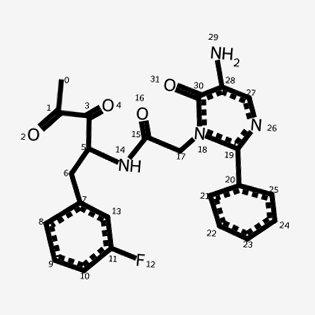 CC(=O)C(=O)C(Cc1cccc(F)c1)NC(=O)Cn1c(-c2ccccc2)ncc(N)c1=O